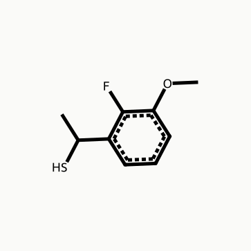 COc1cccc(C(C)S)c1F